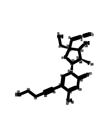 [N-]=[N+]=N[C@]1(CO)O[C@@H](n2cc(C#CCCO)c(N)nc2=O)[C@@H](F)C1O